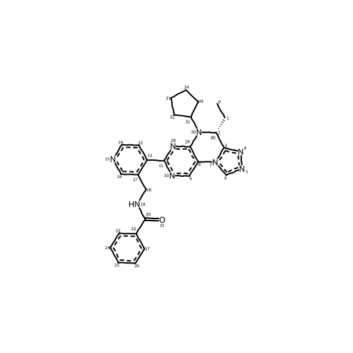 CC[C@@H]1c2nncn2-c2cnc(-c3ccncc3CNC(=O)c3ccccc3)nc2N1C1CCCC1